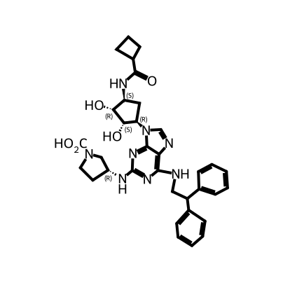 O=C(N[C@H]1C[C@@H](n2cnc3c(NCC(c4ccccc4)c4ccccc4)nc(N[C@@H]4CCN(C(=O)O)C4)nc32)[C@H](O)[C@@H]1O)C1CCC1